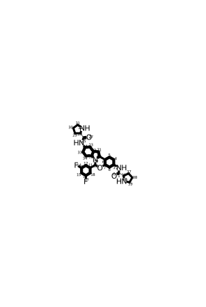 O=C(Nc1ccc2c(c1)OC(c1cc(F)cc(F)c1)n1c-2cc2cc(NC(=O)[C@@H]3CCCN3)ccc21)[C@@H]1CCCN1